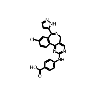 O=C(O)c1ccc(Nc2ncc3c(n2)-c2ccc(Cl)cc2C(c2ccn[nH]2)=NC3)cc1